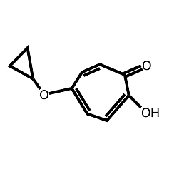 O=c1ccc(OC2CC2)ccc1O